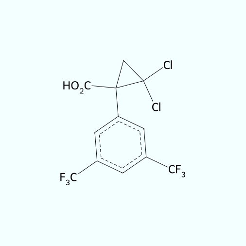 O=C(O)C1(c2cc(C(F)(F)F)cc(C(F)(F)F)c2)CC1(Cl)Cl